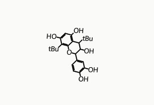 CC(C)(C)c1c(O)cc(O)c2c1OC(c1ccc(O)c(O)c1)C(O)C2C(C)(C)C